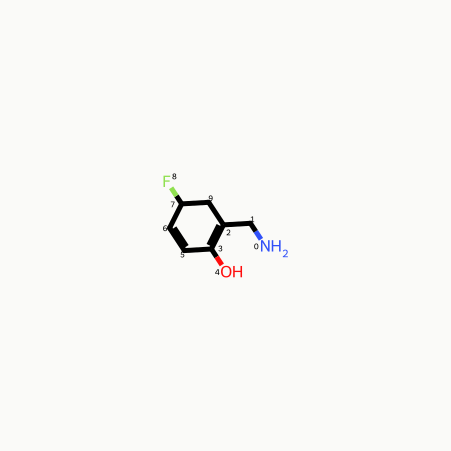 NCC1=C(O)C=CC(F)C1